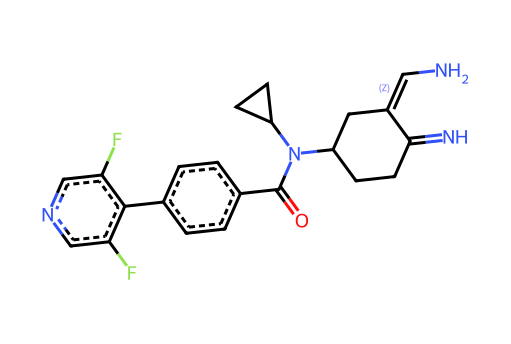 N=C1CCC(N(C(=O)c2ccc(-c3c(F)cncc3F)cc2)C2CC2)C/C1=C/N